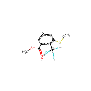 COC(=O)c1cccc(SC)c1C(F)(F)F